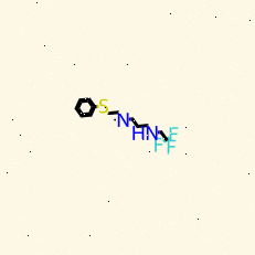 FC(F)(F)CNCCC[N]CCSc1ccccc1